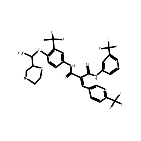 CC(Oc1ccc(NC(=O)C(=Cc2ccc(C(F)(F)F)nc2)C(=O)Nc2cccc(C(F)(F)F)c2)cc1C(F)(F)F)C1CNCCO1